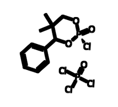 CC1(C)CO[P@](=O)(Cl)OC1c1ccccc1.O=P(Cl)(Cl)Cl